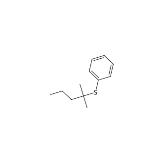 CCCC(C)(C)Sc1ccccc1